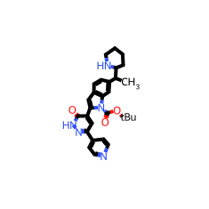 CC(c1ccc2cc(-c3cc(-c4ccncc4)n[nH]c3=O)n(C(=O)OC(C)(C)C)c2c1)C1CCCCN1